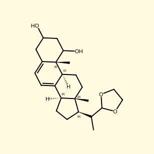 CC(C1OCCO1)[C@H]1CC[C@H]2C3=CC=C4CC(O)CC(O)[C@]4(C)[C@H]3CC[C@]12C